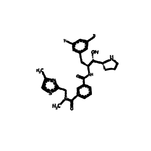 Cc1csc(CN(C)C(=O)c2cccc(C(=O)N[C@@H](Cc3cc(F)cc(F)c3)[C@H](O)[C@H]3CCCN3)c2)n1